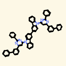 c1ccc(-c2cccc(-c3cc(-n4c5ccccc5c5cc(-c6ccc7c(c6)c6ccccc6n7-c6cc(-c7cccc(-c8ccccc8)c7)nc(-c7ccccc7)n6)ccc54)nc(-c4ccccc4)n3)c2)cc1